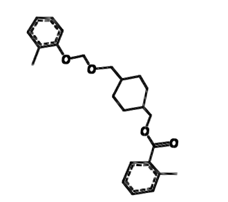 Cc1ccccc1OCOCC1CCC(COC(=O)c2ccccc2C)CC1